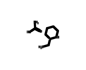 CCN1CCCCN1.NC(=O)O